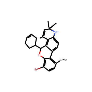 COc1ccc(Br)c2c1-c1ccc3c(c1C(C1CC=CCC1)O2)C(C)=CC(C)(C)N3